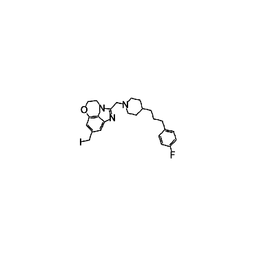 Fc1ccc(CCCC2CCN(Cc3nc4cc(CI)cc5c4n3CCO5)CC2)cc1